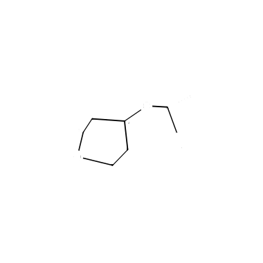 C[C@H](I)OC1CCOCC1